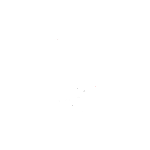 CC1=C[C@H](c2c(O)cc(C3(CCCCBr)CCC3)cc2O)[C@@H]2C[C@H]1C2(C)C